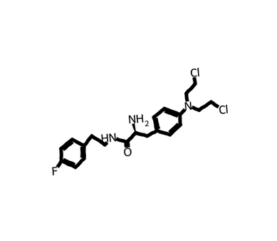 N[C@@H](Cc1ccc(N(CCCl)CCCl)cc1)C(=O)NCCc1ccc(F)cc1